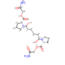 NC(=O)COC(=O)[C@H]1CCCN1C(=O)CCCCC(=O)N1CCC[C@@H]1C(=O)OCC(N)=O